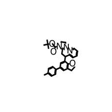 Cc1ccc(-c2cc3c(c(C(CC4=NCCN4C(=O)OC(C)(C)C)c4ccccn4)c2)OCC3)cc1